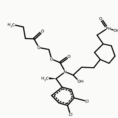 CCCC(=O)OCOC(=O)N(C(O)CCC1CCCC(C[PH](=O)O)C1)[C@H](C)c1ccc(Cl)c(Cl)c1